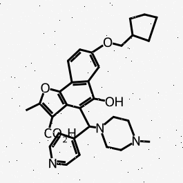 Cc1oc2c(c1C(=O)O)c(C(c1ccncc1)N1CCN(C)CC1)c(O)c1cc(OCC3CCCC3)ccc12